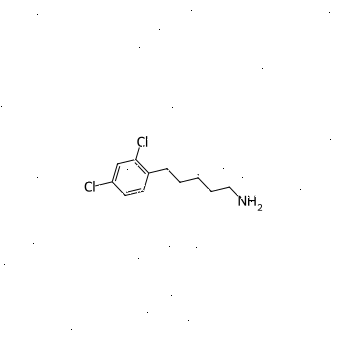 NCC[CH]CCc1ccc(Cl)cc1Cl